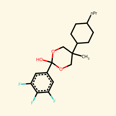 CCCC1CCC(C2(C)COC(O)(c3cc(F)c(F)c(F)c3)OC2)CC1